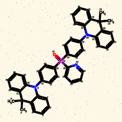 CC1(C)c2ccccc2N(c2ccc(P(=O)(c3ccc(N4c5ccccc5C(C)(C)c5ccccc54)cc3)c3ccccn3)cc2)c2ccccc21